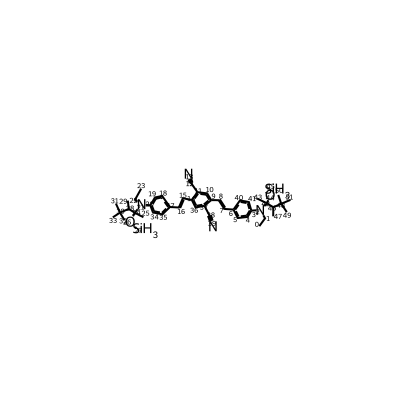 CCN(c1ccc(C=Cc2cc(C#N)c(C=Cc3ccc(N(CC)C(C)(O[SiH3])C(C)C(C)(C)C)cc3)cc2C#N)cc1)C(C)(O[SiH3])C(C)C(C)(C)C